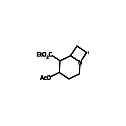 CCOC(=O)C1C(OC(C)=O)CCN2[C]CC12